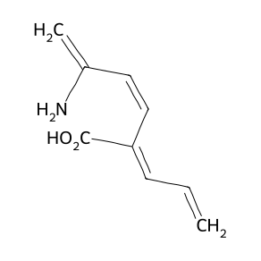 C=C/C=C(\C=C/C(=C)N)C(=O)O